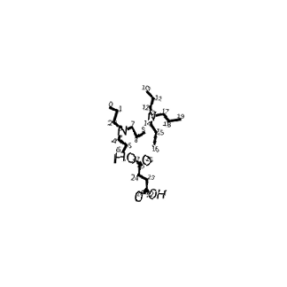 CCCN(CCC)CCC.CCCN(CCC)CCC.O=C(O)CCC(=O)O